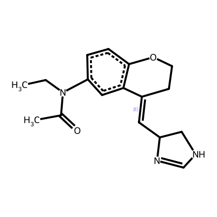 CCN(C(C)=O)c1ccc2c(c1)/C(=C/C1CNC=N1)CCO2